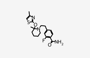 Cc1csc(OC2(C)CCCCN2CCc2ccc(C(N)=O)c(F)c2)n1